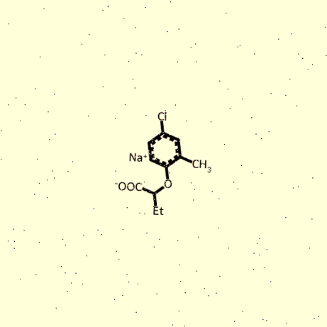 CCC(Oc1ccc(Cl)cc1C)C(=O)[O-].[Na+]